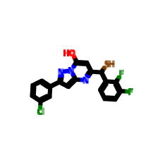 Oc1cc(C(S)c2cccc(F)c2F)nc2cc(-c3cccc(Cl)c3)nn12